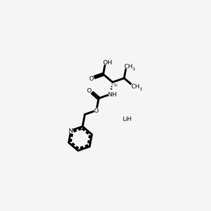 CC(C)[C@H](NC(=O)OCc1ccccn1)C(=O)O.[LiH]